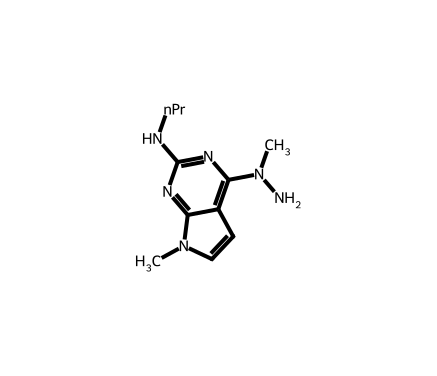 CCCNc1nc(N(C)N)c2ccn(C)c2n1